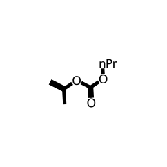 C=C(C)OC(=O)OCCC